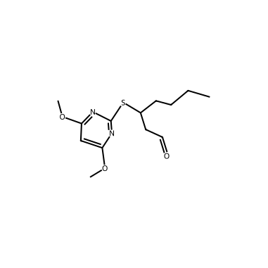 CCCCC(CC=O)Sc1nc(OC)cc(OC)n1